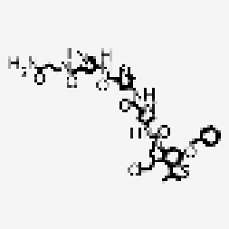 Cc1csc2c(OCc3ccccc3)cc3c(c12)C(CCl)CN3C(=O)Nc1cc(C(=O)Nc2cc(C(=O)Nc3cc(C(=O)NCCC(N)=O)n(C)c3)n(C)c2)n(C)c1